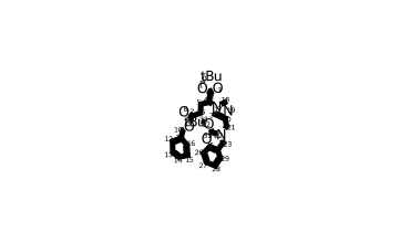 CC(C)(C)OC(=O)C(CCC(=O)OCc1ccccc1)n1cnc(CN(Cc2ccccc2)C(=O)OC(C)(C)C)c1